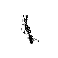 COC(=O)C(Cc1ccccc1)NC(=O)CCCC1CCC2C3CCC4CC(NCCCNCCCN)CCC4(C)C3CCC12C